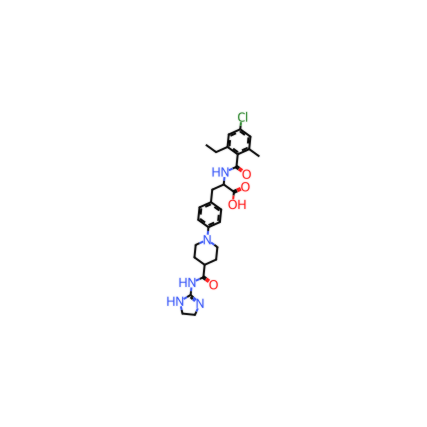 CCc1cc(Cl)cc(C)c1C(=O)NC(Cc1ccc(N2CCC(C(=O)NC3=NCCN3)CC2)cc1)C(=O)O